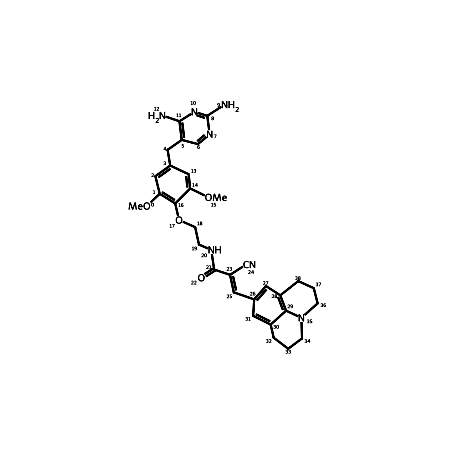 COc1cc(Cc2cnc(N)nc2N)cc(OC)c1OCCNC(=O)/C(C#N)=C/c1cc2c3c(c1)CCCN3CCC2